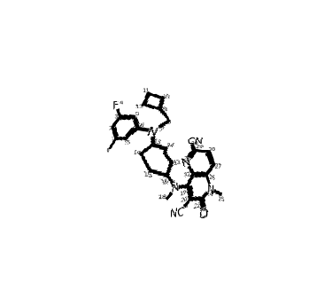 Cc1cc(F)cc(N(CC2CCC2)C2CCC(N(C)c3c(C#N)c(=O)n(C)c4ccc(C#N)nc34)CC2)c1